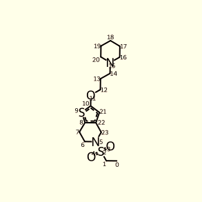 CCS(=O)(=O)N1CCc2sc(OCCCN3CCCCC3)cc2C1